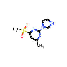 Cc1cc(S(C)(=O)=O)nc(-n2ccnc2)n1